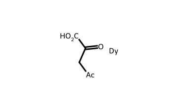 CC(=O)CC(=O)C(=O)O.[Dy]